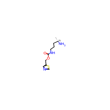 C[C@H](N)CCCNC(=O)OCc1cncs1